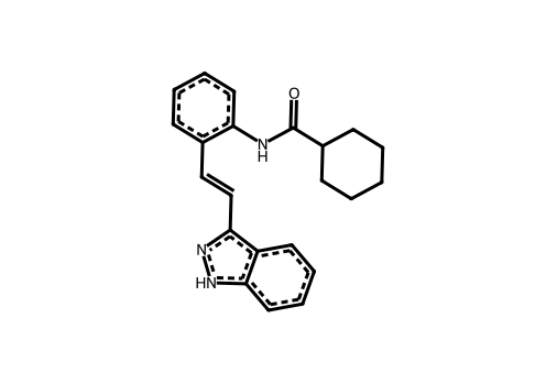 O=C(Nc1ccccc1/C=C/c1n[nH]c2ccccc12)C1CCCCC1